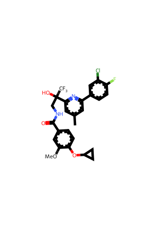 COc1cc(C(=O)NCC(O)(c2cc(C)cc(-c3ccc(F)c(Cl)c3)n2)C(F)(F)F)ccc1OC1CC1